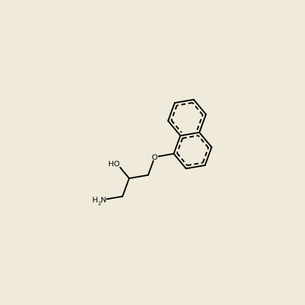 NCC(O)COc1cccc2ccccc12